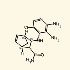 NC(=O)C1[C@@H]2C=C[C@@H](C2)[C@H]1Nc1c(Cl)cnc(N)c1N